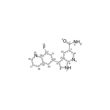 NC(=O)c1cnc2[nH]cc(-c3cc(F)c4ncccc4c3)c2c1